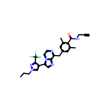 C#CCNC(=O)c1c(C)cc(Cc2nccn3c(-c4cn(CCC)nc4C(F)(F)F)cnc23)cc1C